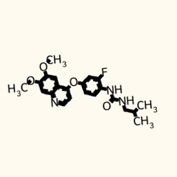 COc1cc2nccc(Oc3ccc(NC(=O)NCC(C)C)c(F)c3)c2cc1OC